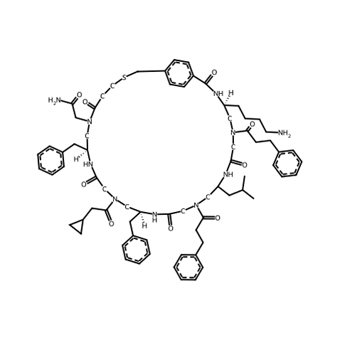 CC(C)CC1CN(C(=O)CCc2ccccc2)CC(=O)N[C@@H](Cc2ccccc2)CN(C(=O)CC2CC2)CC(=O)N[C@@H](Cc2ccccc2)CN(CC(N)=O)C(=O)CCSCc2ccc(cc2)C(=O)N[C@@H](CCCCN)CN(C(=O)CCc2ccccc2)CC(=O)N1